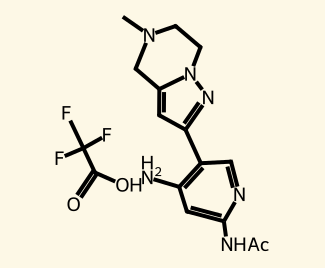 CC(=O)Nc1cc(N)c(-c2cc3n(n2)CCN(C)C3)cn1.O=C(O)C(F)(F)F